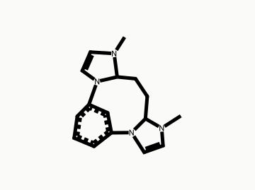 CN1C=CN2c3cccc(c3)N3C=CN(C)C3CCC12